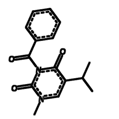 CC(C)c1cn(C)c(=O)n(C(=O)c2ccccc2)c1=O